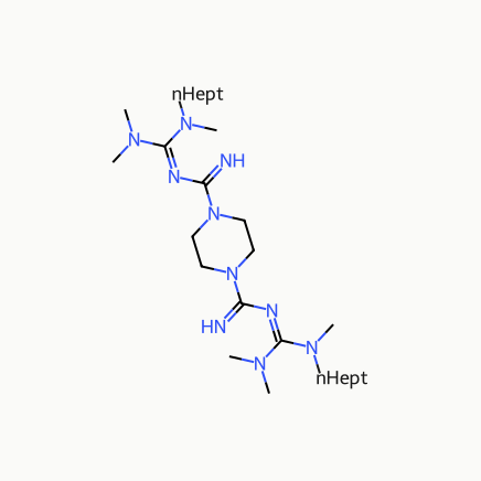 CCCCCCCN(C)C(=NC(=N)N1CCN(C(=N)N=C(N(C)C)N(C)CCCCCCC)CC1)N(C)C